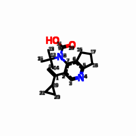 C=C(c1cnc2c(c1N(C(=O)O)C(C)(C)C)CCC2)C1CC1